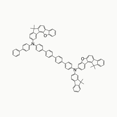 CC1(C)c2ccccc2-c2ccc(N(c3ccc(-c4ccc(-c5ccc(-c6ccc(N(c7ccc(-c8ccccc8)cc7)c7ccc8c(c7)-c7c(ccc9c7oc7ccccc79)C8(C)C)cc6)cc5)cc4)cc3)c3ccc4c(c3)oc3ccc5c(c34)C(C)(C)c3ccccc3-5)cc21